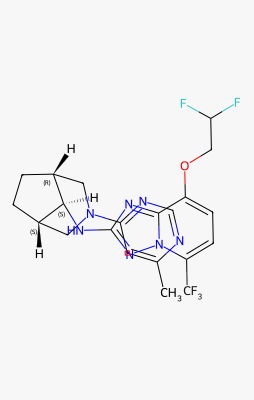 Cc1cc(N2C[C@H]3CC[C@@H](C2)[C@@H]3Nc2nc3c(OCC(F)F)ccc(C(F)(F)F)n3n2)ncn1